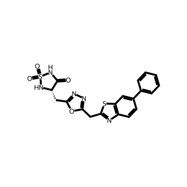 O=C1NS(=O)(=O)N[C@H]1Cc1nnc(Cc2nc3ccc(-c4ccccc4)cc3s2)o1